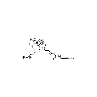 CC(C)C#CCNC(=O)COCCOC(SSCCNC(C)C)C(C)(C)[Si](C)(C)C